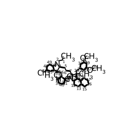 CCCN1/C(=C/C=C/C2=[N+](C)c3ccc4ccccc4c3C2(C)Cc2cc(OC)cc(OC)c2)C(C)(Cc2ccccc2C)c2cc(Cl)ccc21